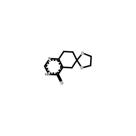 O=c1[nH]cnc2c1CC1(CC2)OCCO1